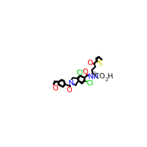 O=C(CC[C@H](NC(=O)c1c(Cl)cc2c(c1Cl)CCN(C(=O)c1ccc3ccoc3c1)C2)C(=O)O)c1cccs1